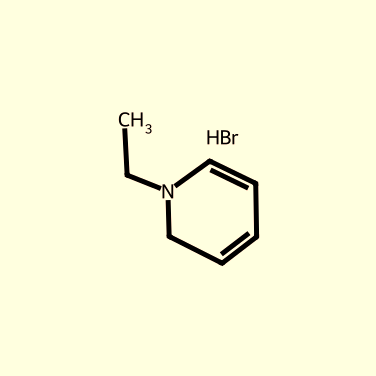 Br.CCN1C=CC=CC1